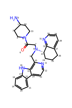 NC1CCN(C(=O)CN(Cc2nccc3c2[nH]c2ccccc23)[C@H]2CCCc3cccnc32)CC1